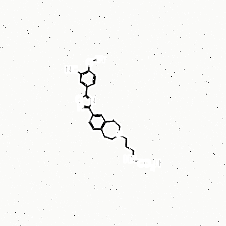 CC(C)Oc1ccc(-c2nc(-c3ccc4c(c3)CCN(CCCNC(=O)O)CC4)no2)cc1C#N